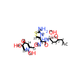 CC(=O)CC1CC[C@H](NC(=O)/C(=N/OCc2cc(=O)c(O)cn2O)c2csc(N)n2)B(O)O1